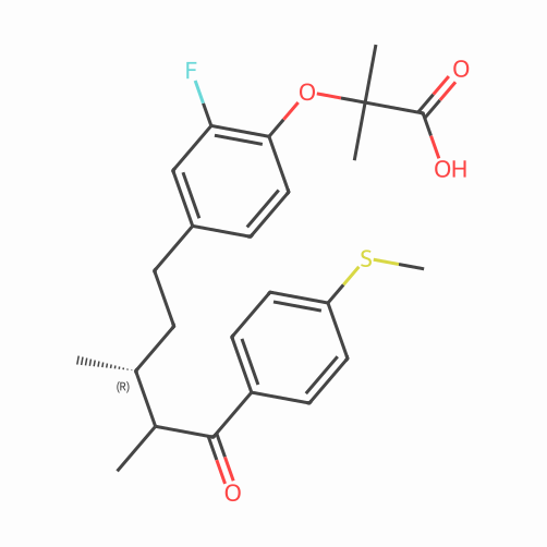 CSc1ccc(C(=O)C(C)[C@H](C)CCc2ccc(OC(C)(C)C(=O)O)c(F)c2)cc1